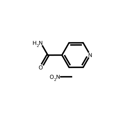 C[N+](=O)[O-].NC(=O)c1ccncc1